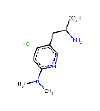 CN(C)c1ccc(CC(N)C(=O)O)cn1.Cl